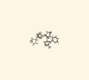 Fc1ncc2n1-c1ccccc1C1=NCN(c3nc(C4CCOC4)no3)N12